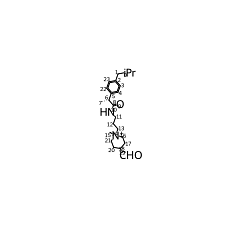 CC(C)Cc1ccc([C@@H](C)C(=O)NCCC[N+]2(C)CCC(C=O)CC2)cc1